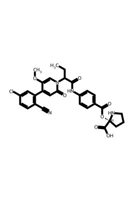 CCC(C(=O)Nc1ccc(C(=O)O[C@@]2(C(=O)O)CCCN2)cc1)n1cc(OC)c(-c2cc(Cl)ccc2C#N)cc1=O